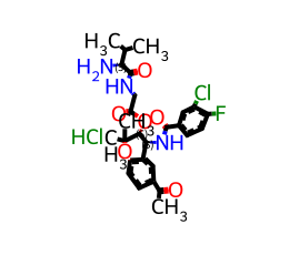 CC(=O)c1ccc2c(c1)[C@H](NC(=O)c1ccc(F)c(Cl)c1)[C@H](OC(=O)CNC(=O)[C@@H](N)C(C)C)C(C)(C)O2.Cl